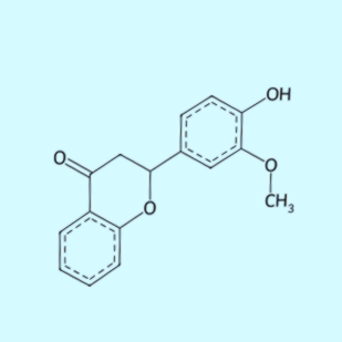 COc1cc(C2CC(=O)c3ccccc3O2)ccc1O